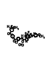 COc1ccc(-n2cc(-c3cnc(C(=O)Nc4ccc(C(=O)N5CCN(C(=O)C6CC[N+](C)(C)CC6)CC5)c(Cl)c4)n3C)c(C(F)(F)F)n2)nc1.O=C[O-]